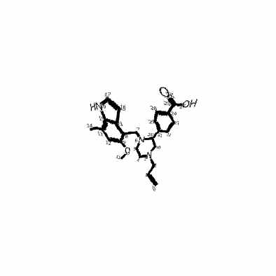 C=CCN1CCN(Cc2c(OC)cc(C)c3[nH]ccc23)C(c2ccc(C(=O)O)cc2)C1